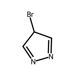 BrC1C=NN=C1